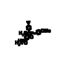 COc1ccc(CCN2C(=O)C3(CCN(C(=O)NN)CC3)N(C)C2c2ccc(C3CC3)cc2)cc1